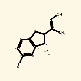 Cl.N/C(=N\O)C1Cc2ccc(F)cc2C1